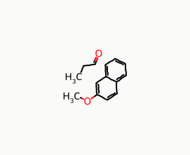 CCC=O.COc1ccc2ccccc2c1